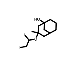 CC1(OC(I)CI)CC2CCCC(O)(C2)C1